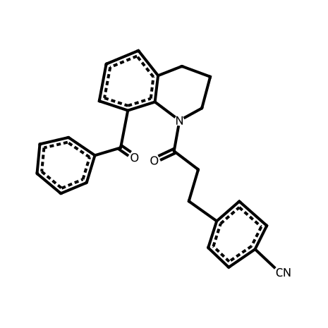 N#Cc1ccc(CCC(=O)N2CCCc3cccc(C(=O)c4ccccc4)c32)cc1